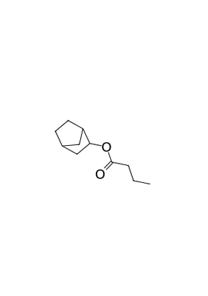 CCCC(=O)OC1CC2CCC1C2